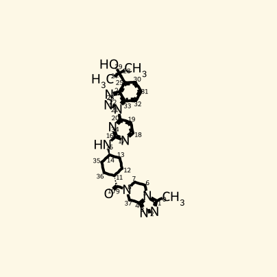 Cc1nnc2n1CCN(C(=O)[C@H]1CC[C@H](Nc3nccc(-n4nnc5c(C(C)(C)O)cccc54)n3)CC1)C2